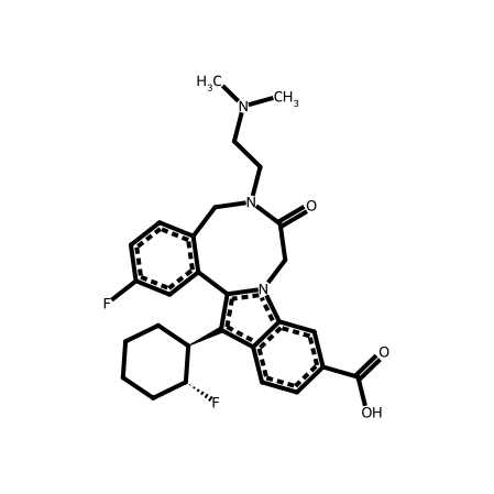 CN(C)CCN1Cc2ccc(F)cc2-c2c([C@@H]3CCCC[C@H]3F)c3ccc(C(=O)O)cc3n2CC1=O